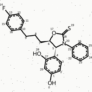 Oc1ccc([C@@H]2[C@@H](CCCc3ccc(F)cc3)OC(=S)N2c2ccccc2)c(O)c1